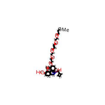 COCCOCCOCCOCCOCCOC1CC[C@@]2(O)C3Cc4ccc(O)c5c4[C@@]2(CCN3CC2CCC2)[C@H]1O5